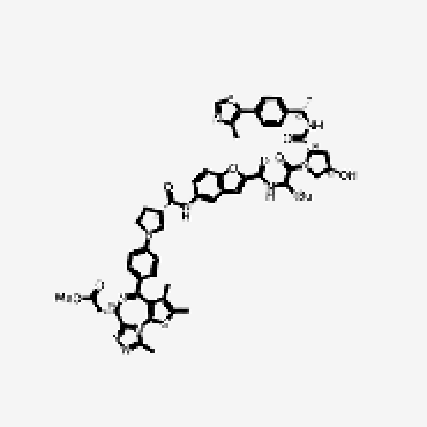 COC(=O)C[C@@H]1N=C(c2ccc(N3CC[C@H](C(=O)Nc4ccc5oc(C(=O)NC(C(=O)N6C[C@H](O)C[C@H]6C(=O)N[C@@H](C)c6ccc(-c7scnc7C)cc6)C(C)(C)C)cc5c4)C3)cc2)c2c(sc(C)c2C)-n2c(C)nnc21